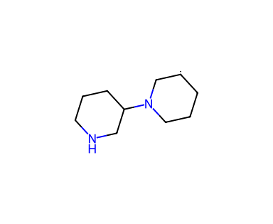 [CH]1CCCN(C2CCCNC2)C1